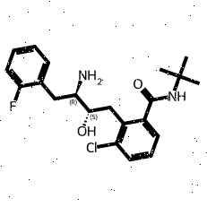 CC(C)(C)NC(=O)c1cccc(Cl)c1C[C@H](O)[C@H](N)Cc1ccccc1F